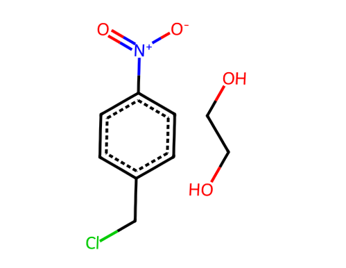 O=[N+]([O-])c1ccc(CCl)cc1.OCCO